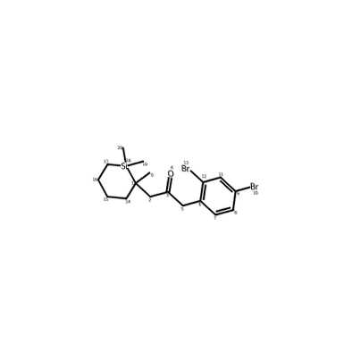 CC1(CC(=O)Cc2ccc(Br)cc2Br)CCCC[Si]1(C)C